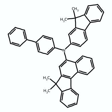 CC1(C)c2ccccc2-c2ccc(N(c3ccc(-c4ccccc4)cc3)c3cc4c(c5ccccc35)-c3ccccc3C4(C)C)cc21